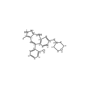 Cc1[nH]nc2c1N=C(c1ccccc1Cl)c1cnc(CN3CCOCC3)cc1N2